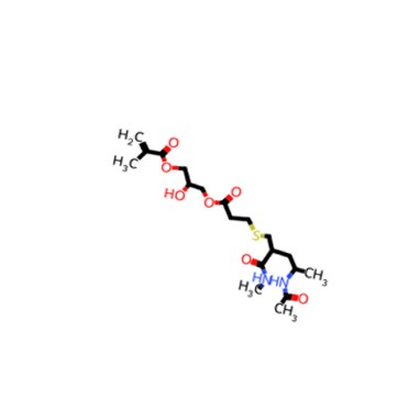 C=C(C)C(=O)OCC(O)COC(=O)CCSCC(CC(C)NC(C)=O)C(=O)NC